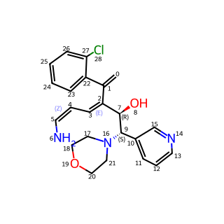 C=C(/C(=C\C=C/N)[C@@H](O)[C@H](c1cccnc1)N1CCOCC1)c1ccccc1Cl